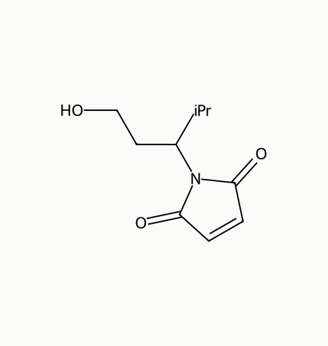 CC(C)C(CCO)N1C(=O)C=CC1=O